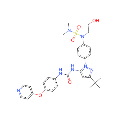 CN(C)S(=O)(=O)N(CCO)c1ccc(-n2nc(C(C)(C)C)cc2NC(=O)Nc2ccc(Oc3ccncc3)cc2)cc1